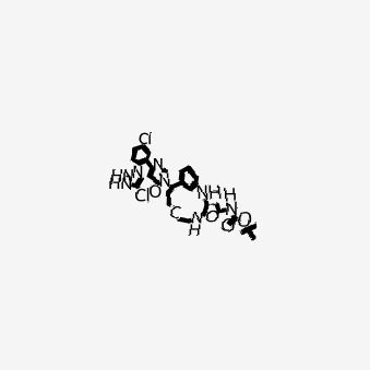 CC(C)(C)OC(=O)NCC[C@H]1Nc2cccc(c2)[C@@H](n2cnc(-c3cc(Cl)ccc3N3C=C(Cl)NN3)cc2=O)CCCCCNC1=O